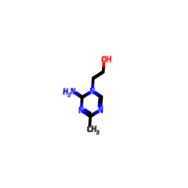 CC1=NC(N)N(CCO)C=N1